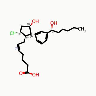 CCCCC[C@H](O)c1cccc([C@@H]2[C@@H](C/C=C\CCCC(=O)O)[C@H](Cl)C[C@H]2O)c1